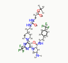 CN(C)[C@@H]1C[C@@H](C(=O)NCCc2ccc(C(F)(F)F)cc2)N(c2cc(N3CCC(CCNC(=O)NCCC(=O)OC(C)(C)C)CC3)nc(C(F)(F)F)n2)C1